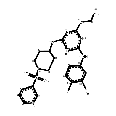 O=S(=O)(c1cccnc1)N1CCC(Nc2nc(Nc3ccc(F)c(Cl)c3)nc(OCC(F)(F)F)n2)CC1